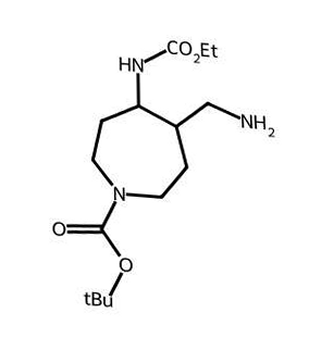 CCOC(=O)NC1CCN(C(=O)OC(C)(C)C)CCC1CN